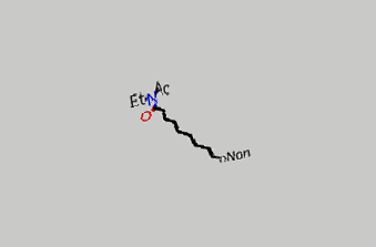 CCCCCCCCCCCCCCCCCC(=O)N(CC)C(C)=O